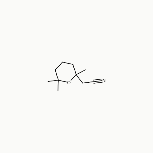 CC1(C)CCCC(C)(CC#N)O1